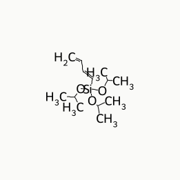 C=C/C=C/[Si](OC(C)C)(OC(C)C)OC(C)C